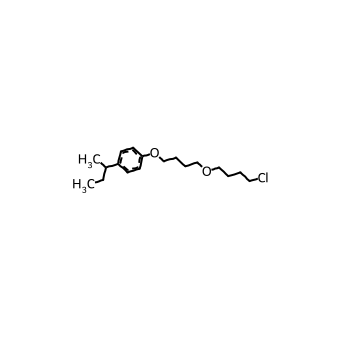 CCC(C)c1ccc(OCCCCOCCCCCl)cc1